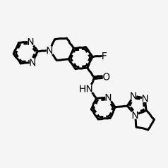 O=C(Nc1cccc(-c2nnc3n2CCC3)n1)c1cc2c(cc1F)CCN(c1ncccn1)C2